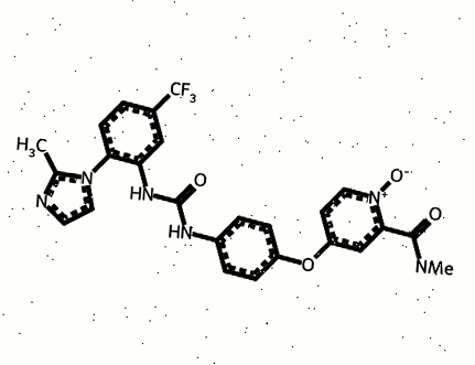 CNC(=O)c1cc(Oc2ccc(NC(=O)Nc3cc(C(F)(F)F)ccc3-n3ccnc3C)cc2)cc[n+]1[O-]